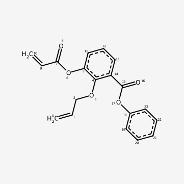 C=CCOc1c(OC(=O)C=C)cccc1C(=O)Oc1ccccc1